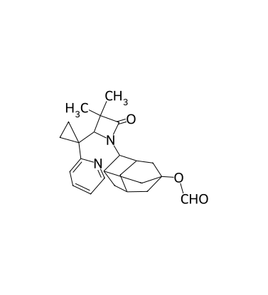 CC1(C)C(=O)N(C2C3CC4CC2CC(OC=O)(C4)C3)C1C1(c2ccccn2)CC1